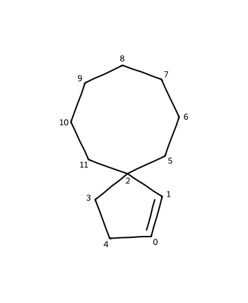 C1=CC2(CC1)CCCCCCC2